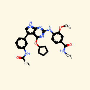 CNC(=O)c1ccc(Nc2nc(OC3CCCC3)c3c(-c4cccc(NC(C)=O)c4)c[nH]c3n2)c(OC)c1